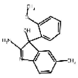 COc1ccccc1C1(O)C(N)=Nc2ccc(C)cc21